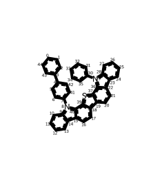 c1ccc(-c2ccc(-n3c4ccccc4c4ccc5c6ccc7c8ccccc8n(-c8ccccc8)c7c6sc5c43)cc2)cc1